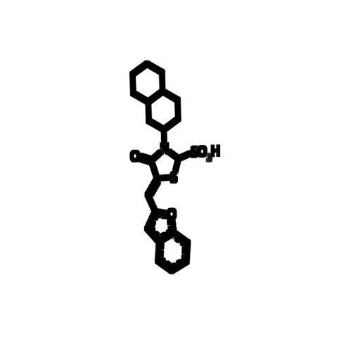 O=C1C(=Cc2cc3ccccc3o2)SC(S(=O)(=O)O)N1C1CCC2CCCCC2C1